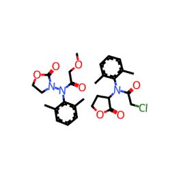 COCC(=O)N(c1c(C)cccc1C)N1CCOC1=O.Cc1cccc(C)c1N(C(=O)CCl)C1CCOC1=O